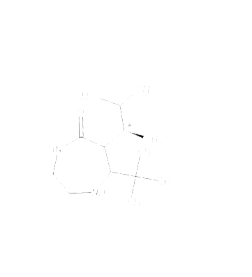 CC(C)[C@@H](C)C1C(=O)NCCNC1C(C)(C)C